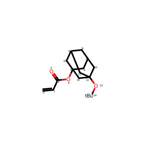 C=CC(=O)OC12CC3CC(C1)CC(OC(C)(C)C)(C3)C2